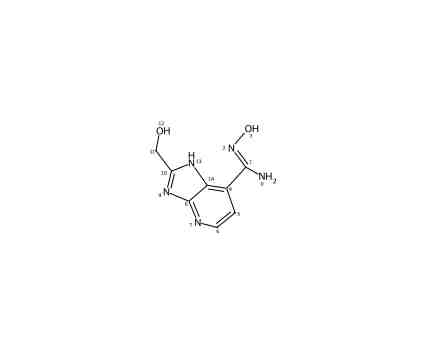 NC(=NO)c1ccnc2nc(CO)[nH]c12